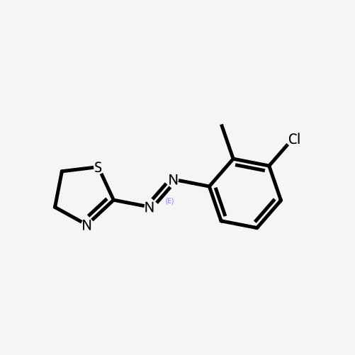 Cc1c(Cl)cccc1/N=N/C1=NCCS1